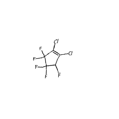 FC1C(Cl)=C(Cl)C(F)(F)C1(F)F